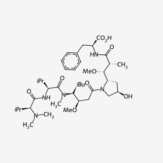 CC[C@H](C)[C@@H]([C@@H](CC(=O)N1C[C@H](O)C[C@H]1[C@H](OC)[C@@H](C)C(=O)N[C@@H](Cc1ccccc1)C(=O)O)OC)N(C)C(=O)[C@@H](NC(=O)[C@H](C(C)C)N(C)C)C(C)C